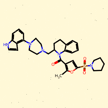 Cc1oc(S(=O)(=O)N2CCCCC2)cc1C(=O)N1c2ccccc2CCC1CN1CCN(c2cccc3[nH]ccc23)CC1